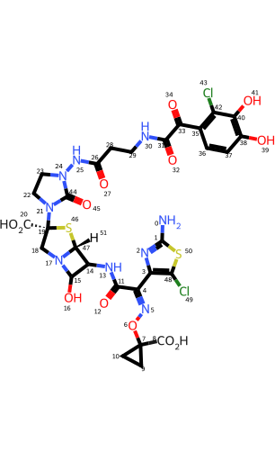 Nc1nc(/C(=N/OC2(C(=O)O)CC2)C(=O)NC2C(O)N3C[C@@](C(=O)O)(N4CCN(NC(=O)CCNC(=O)C(=O)c5ccc(O)c(O)c5Cl)C4=O)S[C@H]23)c(Cl)s1